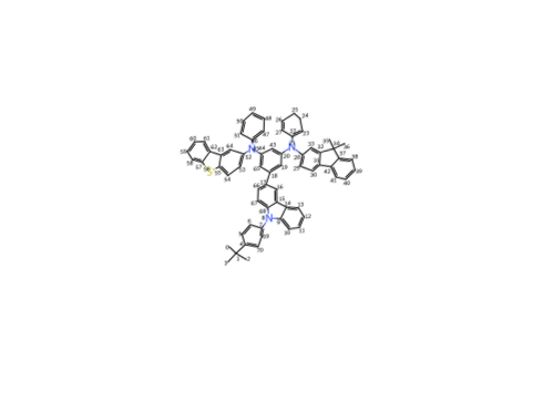 CC(C)(C)c1ccc(-n2c3ccccc3c3cc(-c4cc(N(C5=CCCC=C5)c5ccc6c(c5)C(C)(C)c5ccccc5-6)cc(N(c5ccccc5)c5ccc6sc7ccccc7c6c5)c4)ccc32)cc1